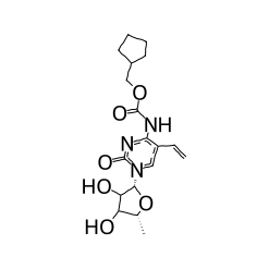 C=Cc1cn([C@@H]2O[C@H](C)C(O)C2O)c(=O)nc1NC(=O)OCC1CCCC1